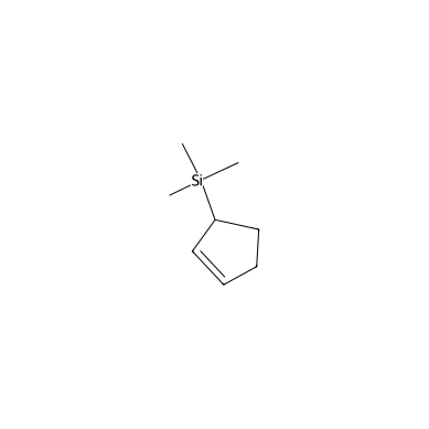 C[Si](C)(C)C1C=CCC1